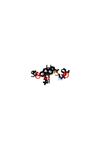 CC[Si](CC)(CC)OC(C)(C)/C=C\CSC(C)C1=CC[C@H]2C3=CC=C4CC(O[Si](C)(C)C(C)(C)C)CC(O[Si](C)(C)C(C)(C)C)[C@]4(C)[C@H]3CC[C@]12C